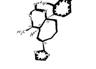 C[C@H]1SC(N)=N[C@@]2(c3ccc(I)cc3F)CCC[C@@H](c3ncco3)C[C@@H]12